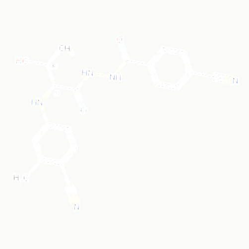 Cc1cc(N[C@@H](C(=O)NNC(=O)c2ccc(C#N)cc2)[C@@H](C)O)ccc1C#N